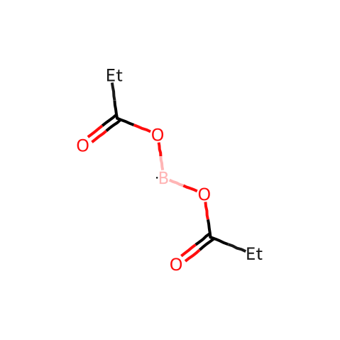 CCC(=O)O[B]OC(=O)CC